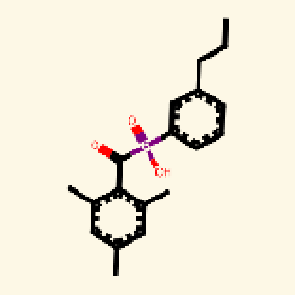 CCCc1cccc(P(=O)(O)C(=O)c2c(C)cc(C)cc2C)c1